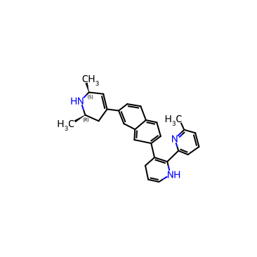 Cc1cccc(C2=C(c3ccc4ccc(C5=C[C@H](C)N[C@H](C)C5)cc4c3)CC=CN2)n1